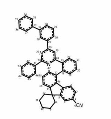 N#Cc1ccc2c(c1)C1(CCCCC1)c1cccc(-c3ccccc3-c3cc(-c4cccc(-c5ccccc5)c4)nc(-c4ccccc4)n3)c1-2